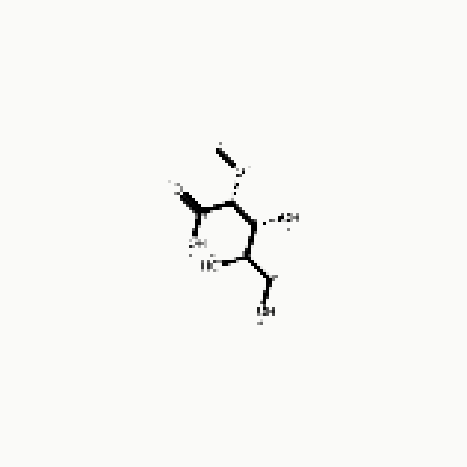 CO[C@@H](C(=O)O)[C@H](O)[C@H](O)CO